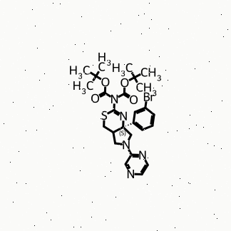 CC(C)(C)OC(=O)N(C(=O)OC(C)(C)C)C1=N[C@@]2(c3cccc(Br)c3)CN(c3cnccn3)CC2CS1